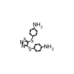 Nc1ccc(Sc2nnsc2Sc2ccc(N)cc2)cc1